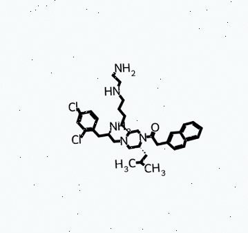 CC(C)C[C@@H]1CN(C[C@H](N)Cc2ccc(Cl)cc2Cl)[C@@H](CCCCNCCN)CN1C(=O)Cc1ccc2ccccc2c1